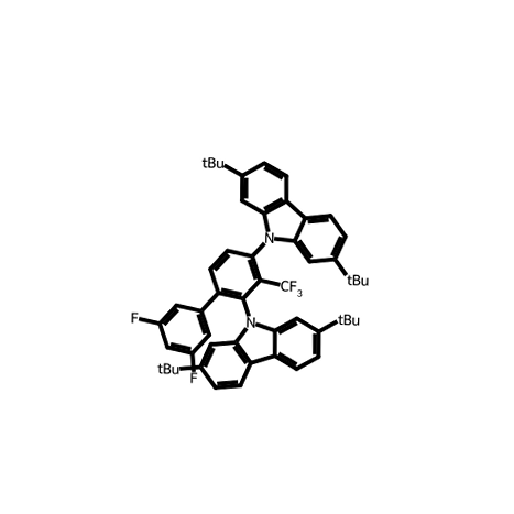 CC(C)(C)c1ccc2c3ccc(C(C)(C)C)cc3n(-c3ccc(-c4cc(F)cc(F)c4)c(-n4c5cc(C(C)(C)C)ccc5c5ccc(C(C)(C)C)cc54)c3C(F)(F)F)c2c1